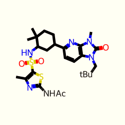 CC(=O)Nc1nc(C)c(S(=O)(=O)NC2CC(c3ccc4c(n3)n(C)c(=O)n4CC(C)(C)C)CCC2(C)C)s1